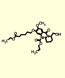 C=CCOC(=O)Nc1cc(OCCCCCC(=O)OCC)c(OC)cc1C(=O)N1CCCCC1CO